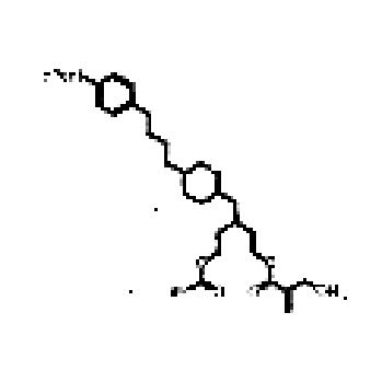 C=C(CO)C(=O)OCCC(CCOC(=O)C(C)C)CC1CCC(CCCCc2ccc(CCCCC)cc2)CC1